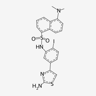 CN(C)c1cccc2c(S(=O)(=O)Nc3cc(-c4csc(N)n4)ccc3I)cccc12